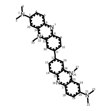 CN(C)c1ccc2nc3ccc(-c4ccc5nc6ccc(N(C)C)cc6[n+](C)c5c4)cc3[n+](C)c2c1